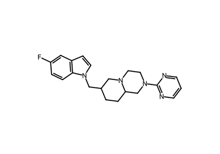 Fc1ccc2c(ccn2CC2CCC3CN(c4ncccn4)CCN3C2)c1